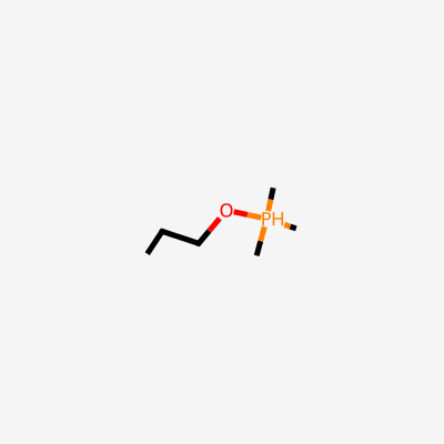 CCCO[PH](C)(C)C